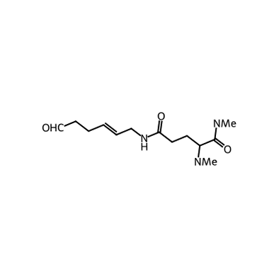 CNC(=O)C(CCC(=O)NCC=CCCC=O)NC